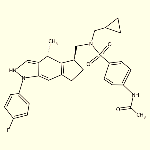 CC(=O)Nc1ccc(S(=O)(=O)N(CC2CC2)C[C@H]2CCC3=C2[C@@H](C)C2=CNN(c4ccc(F)cc4)C2=C3)cc1